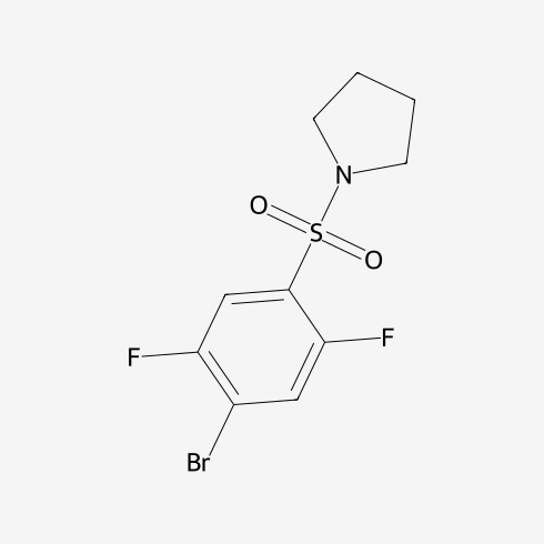 O=S(=O)(c1cc(F)c(Br)cc1F)N1CCCC1